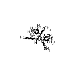 COCCCN(c1nc(NCCCCCCO)nc(N(CCCOC)C2CC(C)(C)NC(C)(C)C2)n1)C1CC(C)(C)NC(C)(C)C1